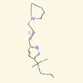 CCCC(C)(C)c1ccc(/C=C/CN2CCCCC2)nc1